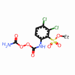 CCOS(=O)(=O)c1c(NC(=O)OOC(N)=O)ccc(Cl)c1Cl